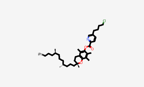 Cc1c(C)c2c(c(C)c1OC(=O)c1ccc(CCCCCl)cn1)CC[C@@](C)(CCC[C@H](C)CCC[C@H](C)CCCC(C)C)O2